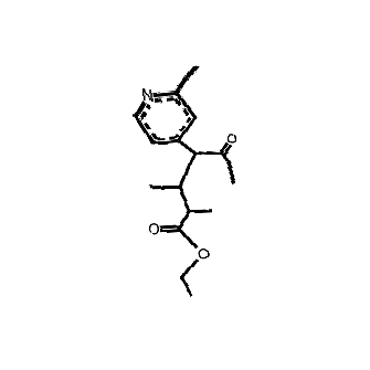 CCOC(=O)C(C)C(C)C(C(C)=O)c1ccnc(C)c1